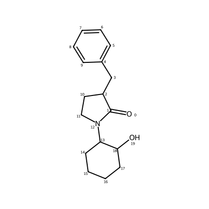 O=C1C(Cc2ccccc2)CCN1C1CCCCC1O